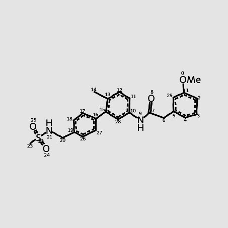 COc1cccc(CC(=O)Nc2ccc(C)c(-c3ccc(CNS(C)(=O)=O)cc3)c2)c1